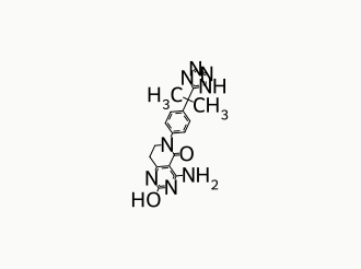 CC(C)(c1ccc(N2CCc3nc(O)nc(N)c3C2=O)cc1)c1nnn[nH]1